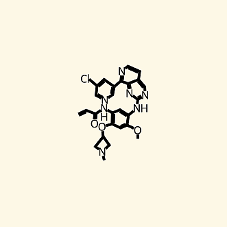 C=CC(=O)Nc1cc(Nc2ncc3ccnc(-c4cncc(Cl)c4)c3n2)c(OC)cc1OC1CN(C)C1